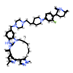 C=C1CCC(c2ccc(N3CCC(CCN4CCN(Cc5ccc6c(c5)N5C[C@H](C)CCCCc7c(cnn7C)-c7cc(cc(C)n7)C(=C)/N=C/5N6)CC4)CC3)cc2F)C(=C)N1